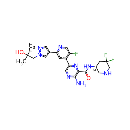 CC(C)(O)Cn1cc(-c2cc(-c3cnc(N)c(C(=O)N[C@@H]4CNCC(F)(F)C4)n3)c(F)cn2)cn1